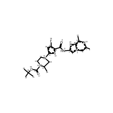 Cc1cn2cc(NC(=O)c3sc(N4CCN(C(=O)OC(C)(C)C)C(C)C4)cc3F)nc2c(C)n1